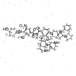 CC(C)c1ccccc1[C@@H]1CCCN1C1CC2(CCN(c3ccc(C(=O)NS(=O)(=O)c4cc5c(c([N+](=O)[O-])c4)N[C@@H]([C@H]4CC[C@](C)(O)CC4)CO5)c(Oc4cc5cc[nH]c5nc4OC[C@H]4COCCN4)c3)CC2)C1